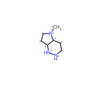 CN1CCC2NNCCC21